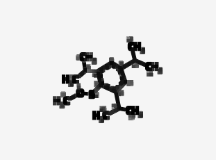 COSc1c(C(C)C)cc(C(C)C)cc1C(C)C